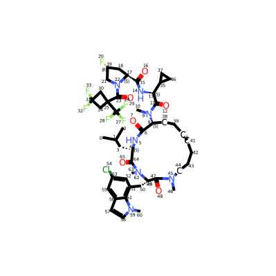 CC(C)C[C@@H]1NC(=O)[C@@H](N(C)C(=O)[C@@H](NC(=O)[C@@H]2C[C@@H](F)CN2C(=O)C2(C(F)(F)F)CC(F)(F)C2)C2CC2)CCCCCCCN(C)C(=O)[C@H](Cc2cc(Cl)cc3ccn(C)c23)N(C)C1=O